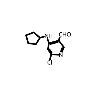 O=Cc1cnc(Cl)cc1NC1CCCC1